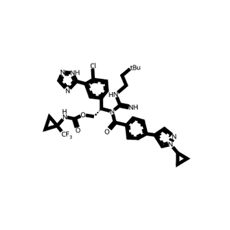 CC(C)(C)CCNC(=N)N(C(=O)c1ccc(-c2cnn(C3CC3)c2)cc1)[C@H](COC(=O)NC1(C(F)(F)F)CC1)c1ccc(Cl)c(-c2ncn[nH]2)c1